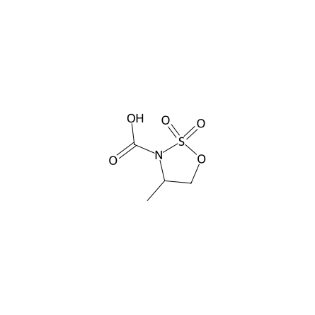 CC1COS(=O)(=O)N1C(=O)O